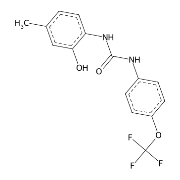 Cc1ccc(NC(=O)Nc2ccc(OC(F)(F)F)cc2)c(O)c1